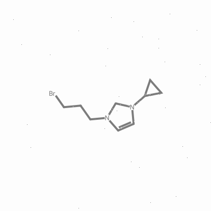 BrCCCN1C=CN(C2CC2)C1